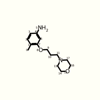 Cc1ccc(N)cc1OCCCN1CCOCC1